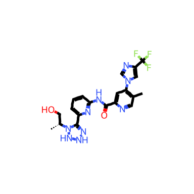 Cc1cnc(C(=O)Nc2cccc(C3=NNNN3[C@H](C)CO)n2)cc1-n1cnc(C(F)(F)F)c1